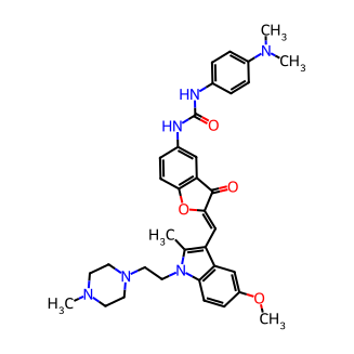 COc1ccc2c(c1)c(/C=C1\Oc3ccc(NC(=O)Nc4ccc(N(C)C)cc4)cc3C1=O)c(C)n2CCN1CCN(C)CC1